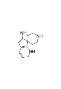 NC1=CC2=C(NCC=C2)C12CCNCC2